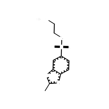 Cc1nc2ccc(S(=O)(=O)NCCC(=O)O)cc2s1